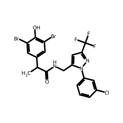 CC(C(=O)NCc1cc(C(F)(F)F)nn1-c1cccc(Cl)c1)c1cc(Br)c(O)c(Br)c1